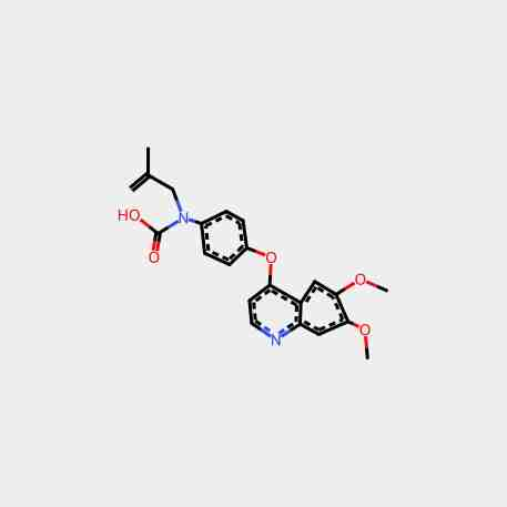 C=C(C)CN(C(=O)O)c1ccc(Oc2ccnc3cc(OC)c(OC)cc23)cc1